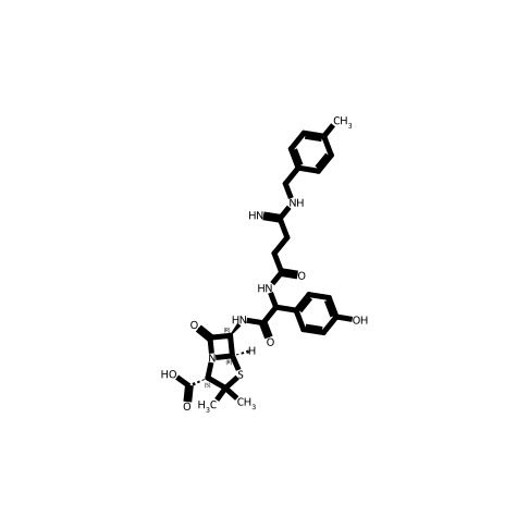 Cc1ccc(CNC(=N)CCC(=O)NC(C(=O)N[C@@H]2C(=O)N3[C@@H]2SC(C)(C)[C@@H]3C(=O)O)c2ccc(O)cc2)cc1